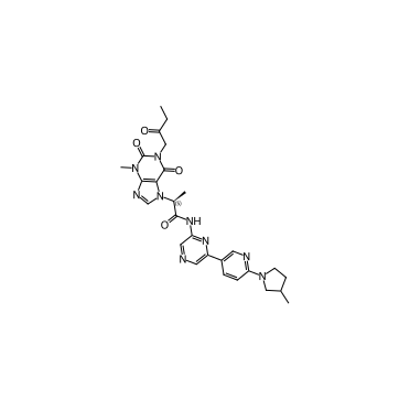 CCC(=O)Cn1c(=O)c2c(ncn2[C@@H](C)C(=O)Nc2cncc(-c3ccc(N4CCC(C)C4)nc3)n2)n(C)c1=O